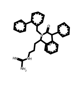 N=C(N)NCCCC(C(=O)O)N(Cc1ccccc1-c1ccccc1)C(=O)C(c1ccccc1)c1ccccc1